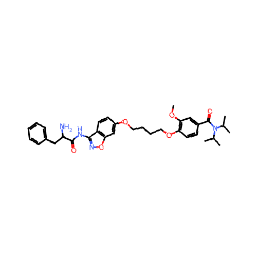 COc1cc(C(=O)N(C(C)C)C(C)C)ccc1OCCCCOc1ccc2c(NC(=O)C(N)Cc3ccccc3)noc2c1